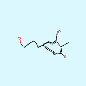 Cc1c(Br)cc(CCCO)cc1Br